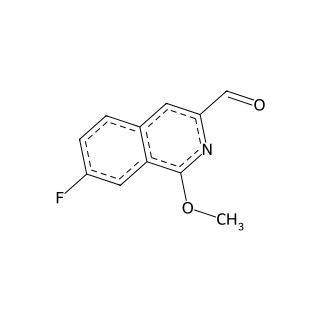 COc1nc(C=O)cc2ccc(F)cc12